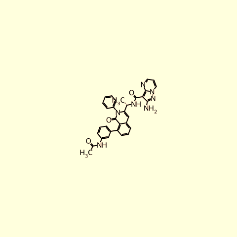 CC(=O)Nc1cccc(-c2cccc3cc([C@H](C)NC(=O)c4c(N)nn5cccnc45)n(-c4ccccc4)c(=O)c23)c1